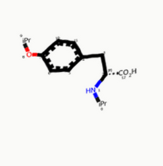 CC(C)N[C@H](Cc1ccc(OC(C)C)cc1)C(=O)O